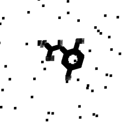 Oc1ccc(Br)cc1NC(O)C(F)(F)F